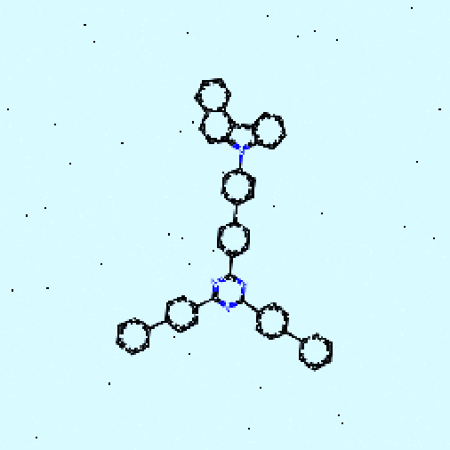 c1ccc(-c2ccc(-c3nc(-c4ccc(-c5ccccc5)cc4)nc(-c4ccc(-c5ccc(-n6c7ccccc7c7c8ccccc8ccc76)cc5)cc4)n3)cc2)cc1